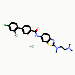 CN(C)CCN(C)c1nc2ccc(NC(=O)c3ccc(-c4ccc(Cl)cc4Cl)cc3)cc2s1.Cl